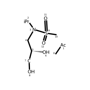 CC(C)=O.CC(C)N(C[C@H](O)CO)S(C)(=O)=O